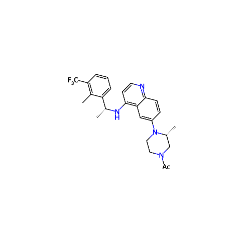 CC(=O)N1CCN(c2ccc3nccc(N[C@H](C)c4cccc(C(F)(F)F)c4C)c3c2)[C@H](C)C1